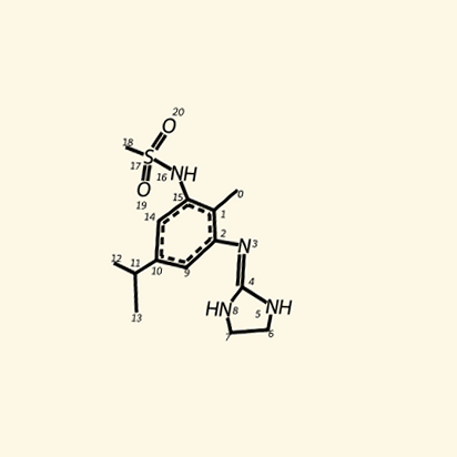 Cc1c(N=C2NCCN2)cc(C(C)C)cc1NS(C)(=O)=O